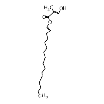 CCCCCCCCCCCCCCC=COC(=O)C(C)=CO